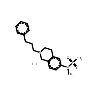 CN(c1ccc2c(c1)CCN(CCCc1ccccc1)C2)S(C)(=O)=O.Cl